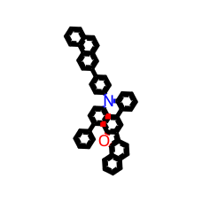 c1ccc(-c2ccc(N(c3ccc(-c4ccc5c(ccc6ccccc65)c4)cc3)c3ccccc3-c3ccc4oc5c6ccccc6ccc5c4c3)cc2)cc1